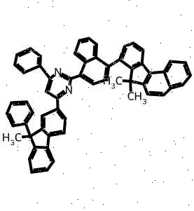 CC1(C)c2ccc3ccccc3c2-c2cccc(-c3ccc(-c4nc(-c5ccccc5)cc(-c5ccc6c(c5)C(C)(c5ccccc5)c5ccccc5-6)n4)c4ccccc34)c21